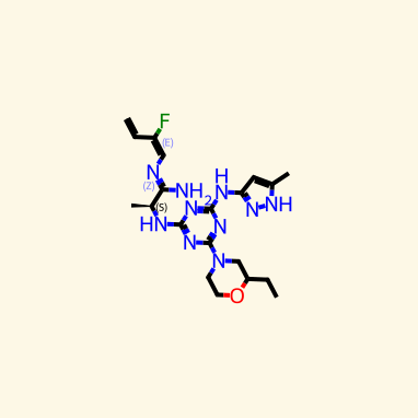 C=C/C(F)=C\N=C(/N)[C@H](C)Nc1nc(Nc2cc(C)[nH]n2)nc(N2CCOC(CC)C2)n1